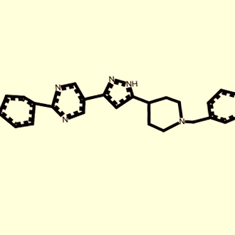 c1ccc(CN2CCC(c3cc(-c4cnc(-c5ccccc5)nc4)n[nH]3)CC2)cc1